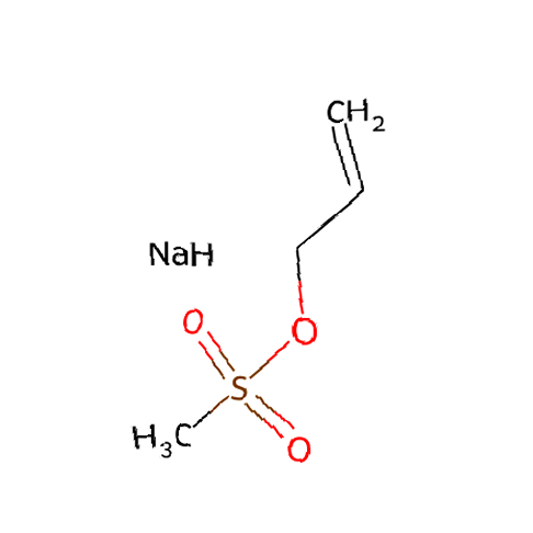 C=CCOS(C)(=O)=O.[NaH]